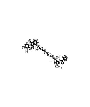 Cn1cc(NC(=O)c2cocn2)c(C(=O)NCCOCCOCCOCCNc2cccc3c2C(=O)N(C2CCC(=O)NC2=O)C3=O)n1